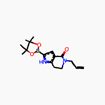 C=CCN1CCc2[nH]c(B3OC(C)(C)C(C)(C)O3)cc2C1=O